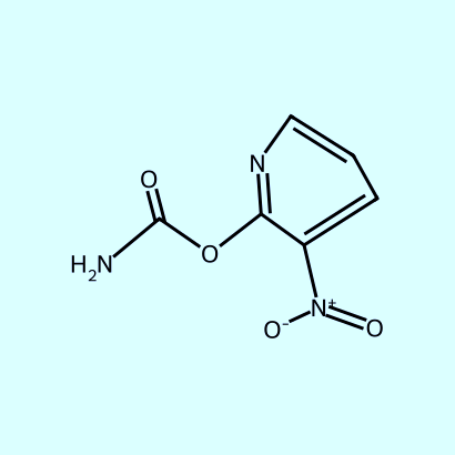 NC(=O)Oc1ncccc1[N+](=O)[O-]